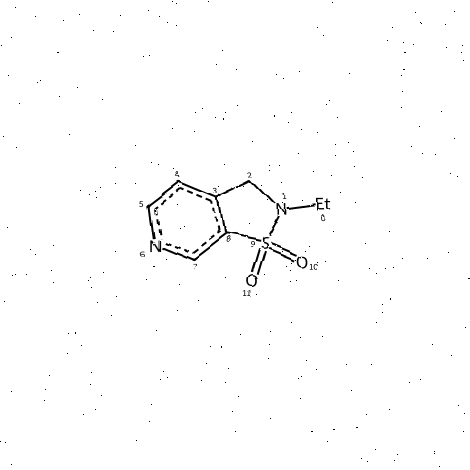 CCN1Cc2ccncc2S1(=O)=O